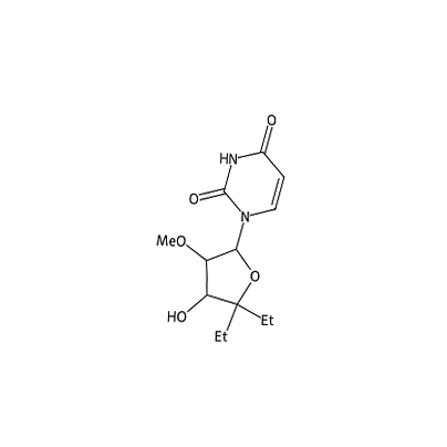 CCC1(CC)OC(n2ccc(=O)[nH]c2=O)C(OC)C1O